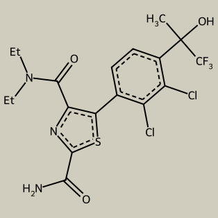 CCN(CC)C(=O)c1nc(C(N)=O)sc1-c1ccc(C(C)(O)C(F)(F)F)c(Cl)c1Cl